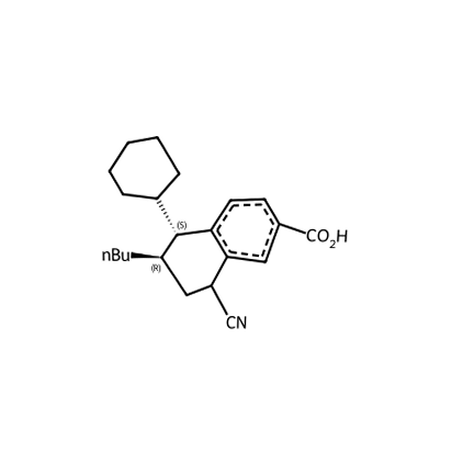 CCCC[C@@H]1CC(C#N)c2cc(C(=O)O)ccc2[C@H]1C1CCCCC1